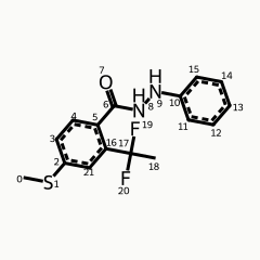 CSc1ccc(C(=O)NNc2ccccc2)c(C(C)(F)F)c1